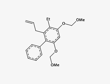 C=CCc1c(CC)c(OCOC)cc(OCOC)c1-c1ccccc1